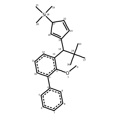 COc1c(-c2ccccc2)cccc1C(C1=CC([Si](C)(C)C)C=C1)C(C)(C)C